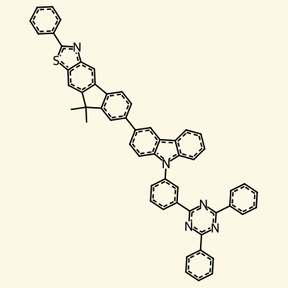 CC1(C)c2cc(-c3ccc4c(c3)c3ccccc3n4-c3cccc(-c4nc(-c5ccccc5)nc(-c5ccccc5)n4)c3)ccc2-c2cc3nc(-c4ccccc4)sc3cc21